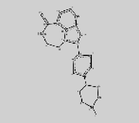 CN1CCC(c2ccc(-c3nc4cccc5c4n3CCNC5=O)cc2)CC1